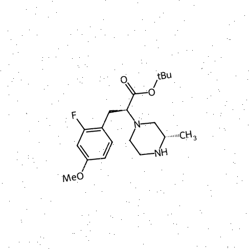 COc1ccc(C[C@@H](C(=O)OC(C)(C)C)N2CCN[C@@H](C)C2)c(F)c1